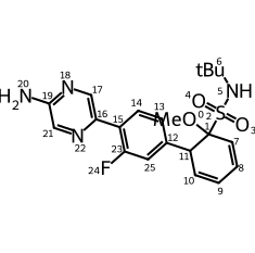 COC1(S(=O)(=O)NC(C)(C)C)C=CC=CC1c1ccc(-c2cnc(N)cn2)c(F)c1